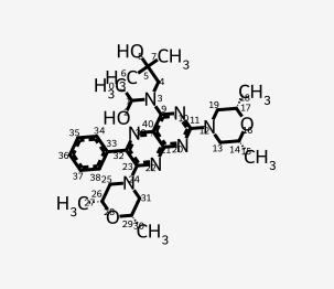 CC(O)N(CC(C)(C)O)c1nc(N2C[C@@H](C)O[C@@H](C)C2)nc2nc(N3C[C@@H](C)O[C@@H](C)C3)c(-c3ccccc3)nc12